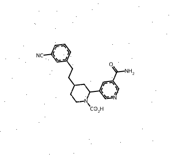 N#Cc1cccc(CCC2CCN(C(=O)O)C(c3cncc(C(N)=O)c3)C2)c1